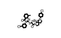 CCCCC(Sc1nc2c(C)cccc2c(=O)n1-c1cccc(Cl)c1)C(=O)N1CCC2(CCN(c3ccc(Cl)cc3)C2)C1